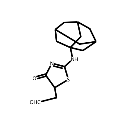 O=CCC1SC(NC23CC4CC(CC(C4)C2)C3)=NC1=O